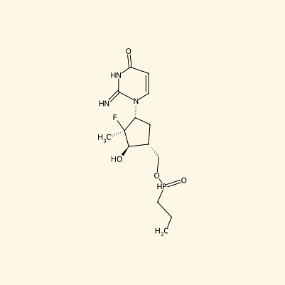 CCC[PH](=O)OC[C@H]1C[C@@H](n2ccc(=O)[nH]c2=N)[C@](C)(F)[C@@H]1O